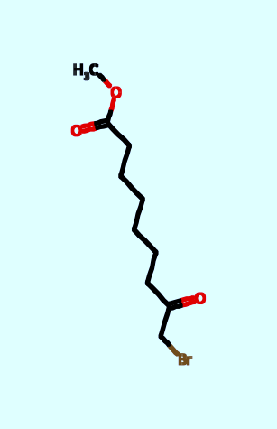 COC(=O)CCCCCCC(=O)CBr